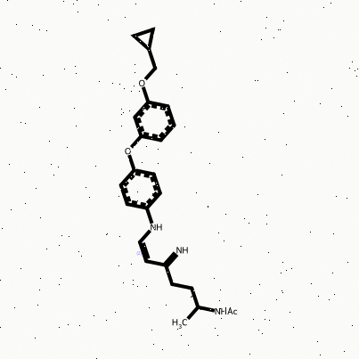 CC(=O)NC(C)CCC(=N)/C=C\Nc1ccc(Oc2cccc(OCC3CC3)c2)cc1